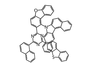 c1ccc2cc3c(cc2c1)c1c2ccccc2ccc1n3-c1c(-c2nc(-c3ccc4c(c3)sc3ccccc34)nc(-c3cccc4ccccc34)n2)ccc2oc3ccccc3c12